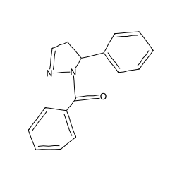 O=C(c1ccccc1)N1N=CCC1c1ccccc1